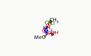 COCCCc1cc(CN(C(=O)C(CN)Cc2ccc(OCCOc3c(Cl)cc(C)cc3Cl)cc2)C2CC2)cc(OCCc2cccc[n+]2O)c1